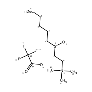 CCCCCCCCCCCCCC[S+]([O-])CC[N+](C)(C)C.O=C([O-])C(F)(F)F